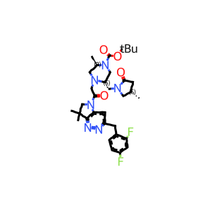 C[C@H]1CC(=O)N(C[C@H]2CN(C(=O)OC(C)(C)C)[C@H](C)CN2CC(=O)N2CC(C)(C)c3nnc(Cc4ccc(F)cc4F)cc32)C1